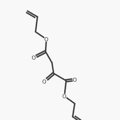 C=CCOC(=O)CC(=O)C(=O)OCC=C